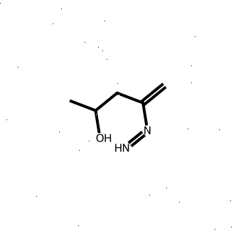 C=C(CC(C)O)N=N